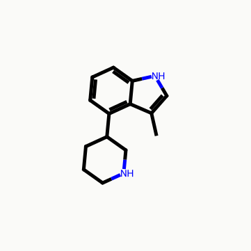 Cc1c[nH]c2cccc(C3CCCNC3)c12